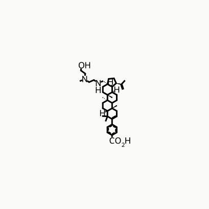 C=C(C)[C@@H]1CC[C@]2(CNCCN(C)CCO)CC[C@]3(C)[C@H](CCC4[C@]5(C)CC=C(c6ccc(C(=O)O)cc6)C(C)(C)[C@@H]5CC[C@]43C)[C@@H]12